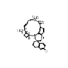 O=C1NS(=O)(=O)CC/C=C/[C@@H](O)[C@@H]2CC[C@H]2CN2C[C@@]3(CCCc4cc(Cl)ccc43)COc3ccc1cc32